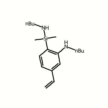 C=Cc1ccc([Si](C)(C)NCCCC)c(NCCCC)c1